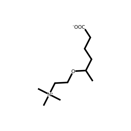 CC(CCCC(=O)[O-])OCC[N+](C)(C)C